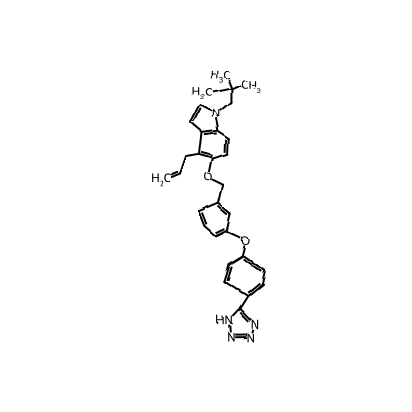 C=CCc1c(OCc2cccc(Oc3ccc(-c4nnn[nH]4)cc3)c2)ccc2c1ccn2CC(C)(C)C